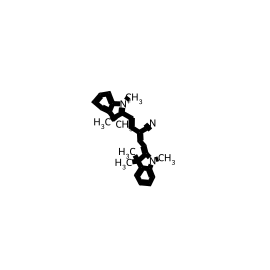 CN1/C(=C/C=C(C#N)/C=C/C2=[N+](C)c3ccccc3C2(C)C)C(C)(C)c2ccccc21